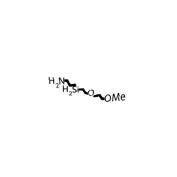 COCCCOCC[SiH2]CCCN